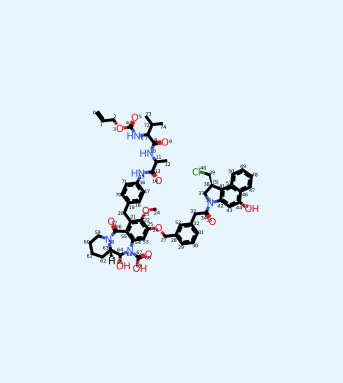 C=CCOC(=O)NC(C(=O)NC(C)C(=O)Nc1ccc(Cc2c(OC)c(OCc3cccc(CC(=O)N4C[C@@H](CCl)c5c4cc(O)c4ccccc54)c3)cc3c2C(=O)N2CCCC[C@H]2C(O)N3C(=O)O)cc1)C(C)C